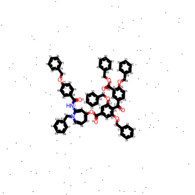 O=C(NC1=CC(OC(=O)c2cc(OCc3ccccc3)c(C(=O)c3ccc(OCc4ccccc4)c(C(=O)OCc4ccccc4)c3)c(OCc3ccccc3)c2)=CC=CN1Cc1ccccc1)c1ccc(OCc2ccccc2)cc1